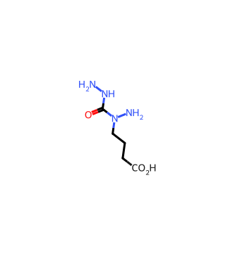 NNC(=O)N(N)CCCC(=O)O